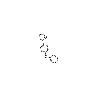 c1ccc(Oc2ccc(-c3ccco3)cc2)cc1